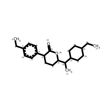 CCc1ccc(C2CCC(C(C)C3CCC(CC)CC3)OC2=O)cc1